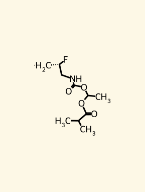 [CH2][C@H](F)CNC(=O)OC(C)OC(=O)C(C)C